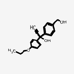 C#CC(O)(c1ccc(CO)cc1)c1ccc(OCCC)cc1